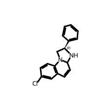 Clc1ccc2c(c1)C=CC1N[C@H](c3ccccc3)CN21